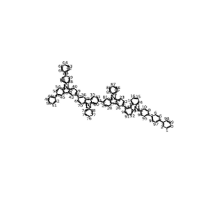 c1ccc(-c2ccc(-c3ccc(-n4c5ccccc5c5c(-c6ccc7c(c6)c6ccc(-c8ccc9c%10cc(-c%11ccc%12c(c%11)c%11cc(-c%13ccccc%13)ccc%11n%12-c%11ccc(-c%12ccccc%12)cc%11)ccc%10n(-c%10ccccc%10)c9c8)cc6n7-c6ccccc6)cccc54)cc3)cc2)cc1